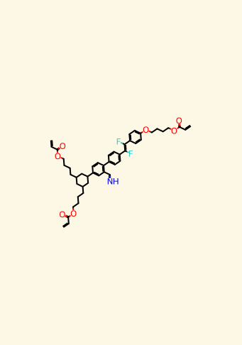 C=CC(=O)OCCCCOc1ccc(/C(F)=C(\F)c2ccc(-c3ccc(C4CC(CCCCOC(=O)C=C)CC(CCCCOC(=O)C=C)C4)cc3C=N)cc2)cc1